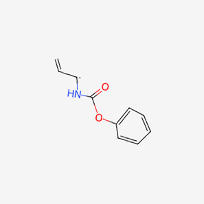 C=C[CH]NC(=O)Oc1ccccc1